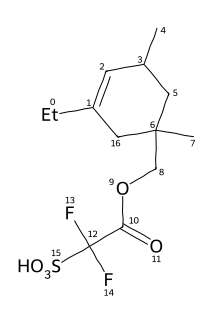 CCC1=CC(C)CC(C)(COC(=O)C(F)(F)S(=O)(=O)O)C1